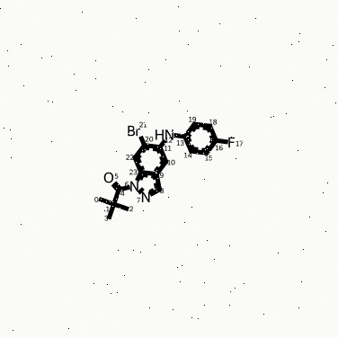 CC(C)(C)C(=O)n1ncc2cc(Nc3ccc(F)cc3)c(Br)cc21